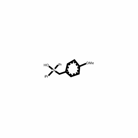 COc1ccc(C[Si](O)(C(C)C)C(C)C)cc1